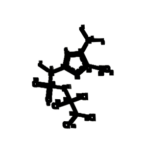 CN(C)c1sc(N(C)S(=O)(=O)SC(Cl)(Cl)C(Cl)Cl)cc1[N+](=O)[O-]